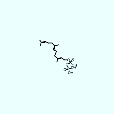 CC(C)=CCCC(C)=CCCC(C)=CCOP(O)(=S)OP(=O)(O)O